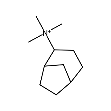 C[N+](C)(C)C1CCC2CCC1C2